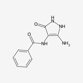 Nc1[nH][nH]c(=O)c1NC(=O)c1ccccc1